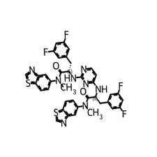 CN(C(=O)[C@H](Cc1cc(F)cc(F)c1)Nc1ccnc(N[C@@H](Cc2cc(F)cc(F)c2)C(=O)N(C)c2ccc3scnc3c2)n1)c1ccc2scnc2c1